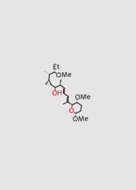 CC[C@H](OC)[C@@H](C)[C@@H]1C[C@H]1[C@H](O)[C@@H](C)/C=C/C=C(\C)[C@@H]1O[C@@H](OC)CC[C@H]1OC